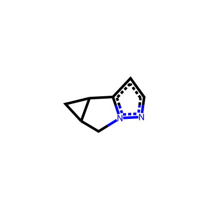 c1cc2n(n1)CC1CC21